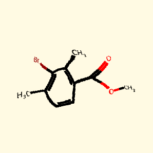 COC(=O)c1ccc(C)c(Br)c1C